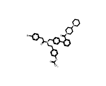 O=C(Cc1ccc(Br)cc1)N(CCc1ccc(OC(=O)C(F)(F)F)cc1)Cc1ccc(-c2ccccc2C(=O)N2CCC(N3CCCCC3)CC2)cc1